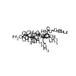 C=C(C)C(=O)C(C)(C)OCC(C)(C)OC(=O)NCC1(C)CC(NC(=O)OCCOCCCC)CC(C)(C)C1